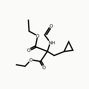 CCOC(=O)C(CC1CC1)(NC=O)C(=O)OCC